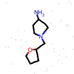 NC1CCN(CC2CCCO2)CC1